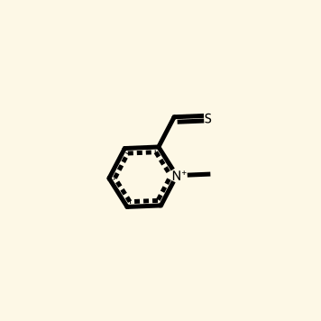 C[n+]1ccccc1C=S